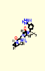 C[C@@H](c1cccc(-c2nnn[nH]2)c1)N1C(=O)[C@@H]2C[C@H]1CN2C[C@H](N)C(=O)N1[C@H](C#N)C[C@@H]2C[C@@H]21